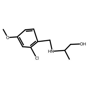 COc1ccc(CNC(C)CO)c(Cl)c1